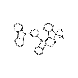 CC1(C)c2ccccc2-c2c1ccc1c3ccccc3n(-c3cccc(-n4c5ccccc5c5ccccc54)c3)c21